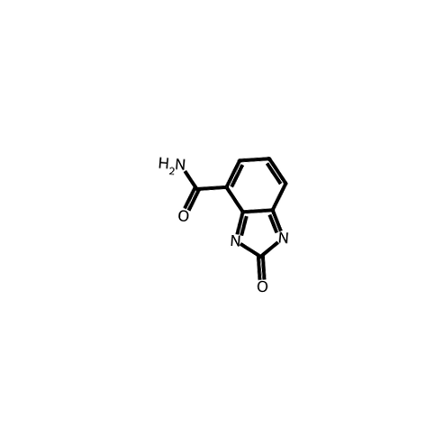 NC(=O)c1cccc2c1=NC(=O)N=2